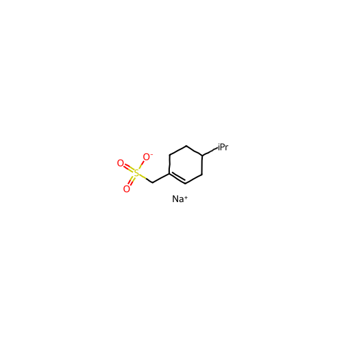 CC(C)C1CC=C(CS(=O)(=O)[O-])CC1.[Na+]